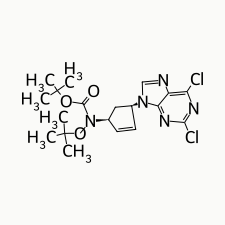 CC(C)(C)OC(=O)N(OC(C)(C)C)[C@@H]1C=C[C@H](n2cnc3c(Cl)nc(Cl)nc32)C1